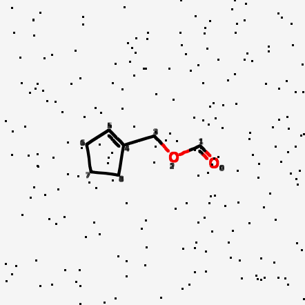 O=COCC1=CCCC1